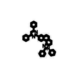 c1ccc(-c2cc(-c3ccccc3)nc(-c3ccc4c(ccc5ccc6c(nc(-c7ccccc7)n6-c6ccccc6)c54)c3)n2)cc1